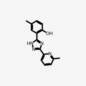 Cc1ccc(O)c(-c2nc(-c3cccc(C)n3)n[nH]2)c1